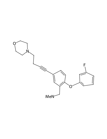 CNCc1cc(C#CCCN2CCOCC2)ccc1Oc1cccc(F)c1